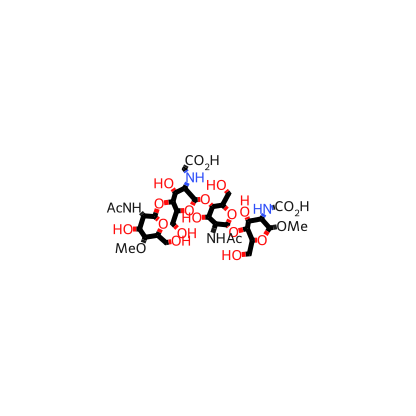 COC1OC(CO)C(OC2OC(CO)C(OC3OC(CO)C(OC4OC(CO)C(OC)C(O)C4NC(C)=O)C(O)C3NCC(=O)O)C(O)C2NC(C)=O)C(O)C1NC(=O)O